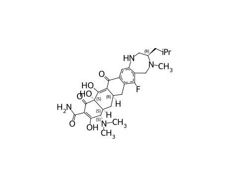 CC(C)C[C@@H]1CNc2cc3c(c(F)c2CN1C)C[C@H]1C[C@H]2[C@H](N(C)C)C(O)=C(C(N)=O)C(=O)[C@@]2(O)C(O)=C1C3=O